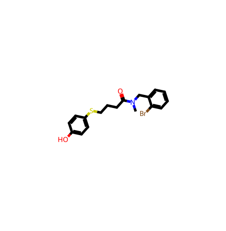 CN(Cc1ccccc1Br)C(=O)CCCSc1ccc(O)cc1